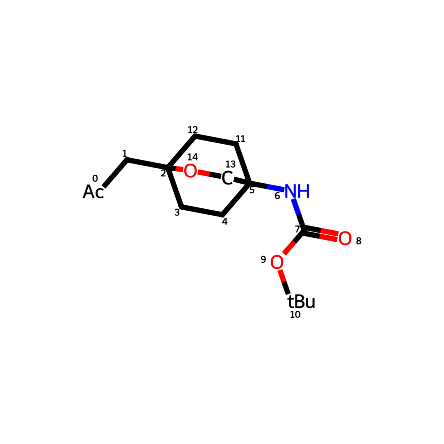 CC(=O)CC12CCC(NC(=O)OC(C)(C)C)(CC1)CO2